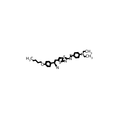 CCCCCOc1ccc(/C(C#N)=C/c2cc3sc(/N=N/c4ccc(N(CC)CC)cc4)nc3s2)cc1